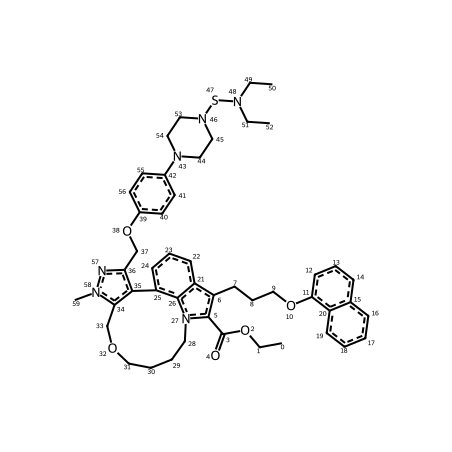 CCOC(=O)c1c(CCCOc2cccc3ccccc23)c2cccc3c2n1CCCCOCc1c-3c(COc2ccc(N3CCN(SN(CC)CC)CC3)cc2)nn1C